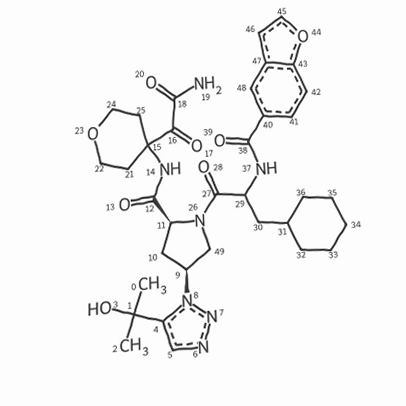 CC(C)(O)c1cnnn1[C@H]1C[C@@H](C(=O)NC2(C(=O)C(N)=O)CCOCC2)N(C(=O)C(CC2CCCCC2)NC(=O)c2ccc3occc3c2)C1